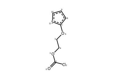 O=C(Cl)OCCOc1cccs1